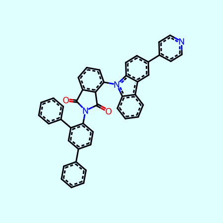 O=C1c2cccc(-n3c4ccccc4c4cc(-c5ccncc5)ccc43)c2C(=O)N1c1ccc(-c2ccccc2)cc1-c1ccccc1